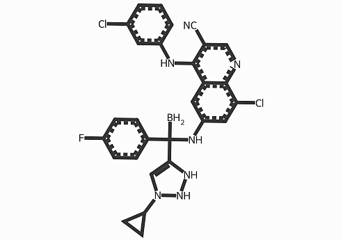 BC(Nc1cc(Cl)c2ncc(C#N)c(Nc3cccc(Cl)c3)c2c1)(C1=CN(C2CC2)NN1)c1ccc(F)cc1